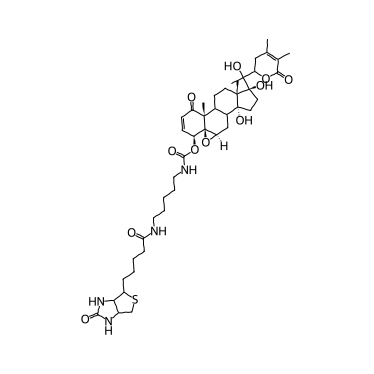 CC1=C(C)C(=O)OC(C(C)(O)[C@]2(O)CC[C@@]3(O)C4C[C@H]5O[C@]56[C@@H](OC(=O)NCCCCCNC(=O)CCCCC5SCC7NC(=O)NC75)C=CC(=O)[C@]6(C)C4CC[C@@]32C)C1